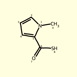 Cn1cccc1C(=O)S